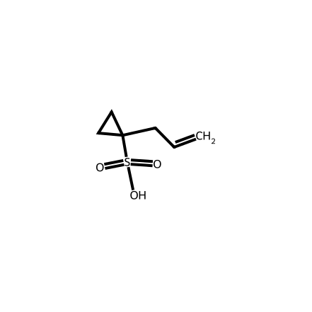 C=CCC1(S(=O)(=O)O)CC1